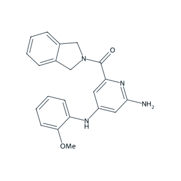 COc1ccccc1Nc1cc(N)nc(C(=O)N2Cc3ccccc3C2)c1